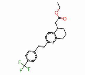 CCOC(=O)C[C@H]1CCCc2cc(/C=C/c3ccc(C(F)(F)F)cc3)ccc21